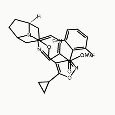 COC(=O)c1cnc(N2C3CC[C@H]2CC(OCc2c(-c4c(F)cccc4F)noc2C2CC2)C3)cn1